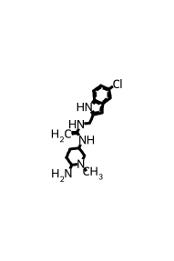 C=C(NCc1cc2cc(Cl)ccc2[nH]1)NC1CCC(N)N(C)C1